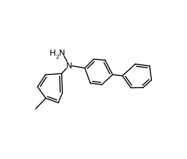 Cc1ccc(N(N)c2ccc(-c3ccccc3)cc2)cc1